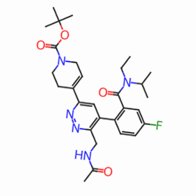 CCN(C(=O)c1cc(F)ccc1-c1cc(C2=CCN(C(=O)OC(C)(C)C)CC2)nnc1CNC(C)=O)C(C)C